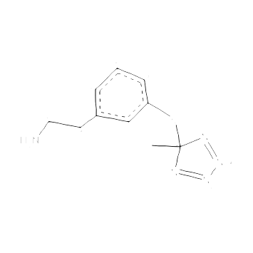 CC1(Oc2cccc(CCN)c2)N=NN=N1